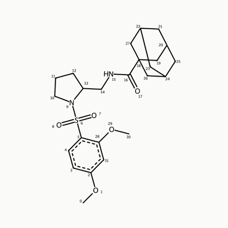 COc1ccc(S(=O)(=O)N2CCCC2CNC(=O)C23CC4CC(CC(C4)C2)C3)c(OC)c1